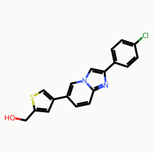 OCc1cc(-c2ccc3nc(-c4ccc(Cl)cc4)cn3c2)cs1